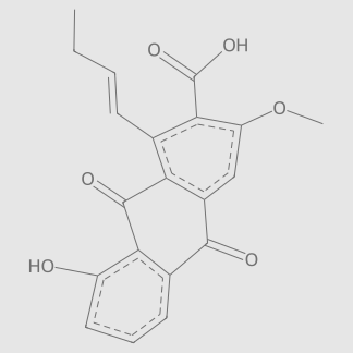 CCC=Cc1c(C(=O)O)c(OC)cc2c1C(=O)c1c(O)cccc1C2=O